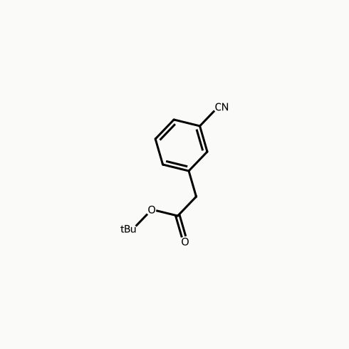 CC(C)(C)OC(=O)Cc1cccc(C#N)c1